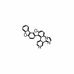 c1ccc2c(c1)oc1ccc3c(oc4ccc5c(c6ccncc6c6nccn56)c43)c12